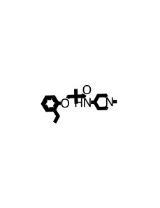 CCc1ccccc1OCC(C)(C)C(=O)NC1CCN(C)CC1